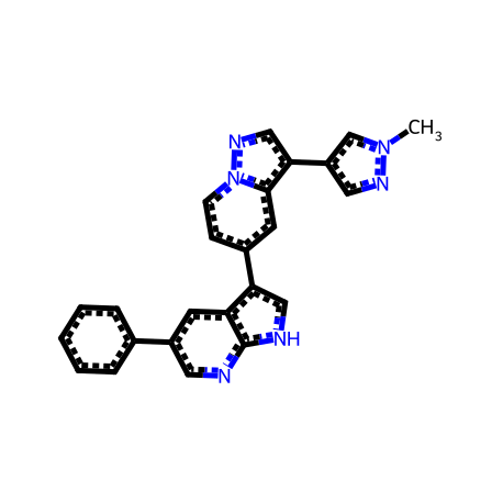 Cn1cc(-c2cnn3ccc(-c4c[nH]c5ncc(-c6ccccc6)cc45)cc23)cn1